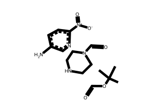 CC(C)(C)OC=O.Nc1ccc([N+](=O)[O-])nc1.O=CN1CCNCC1